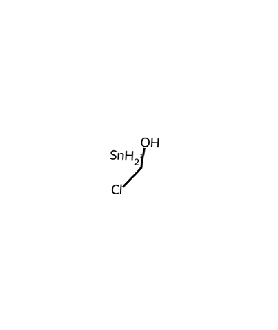 OCCl.[SnH2]